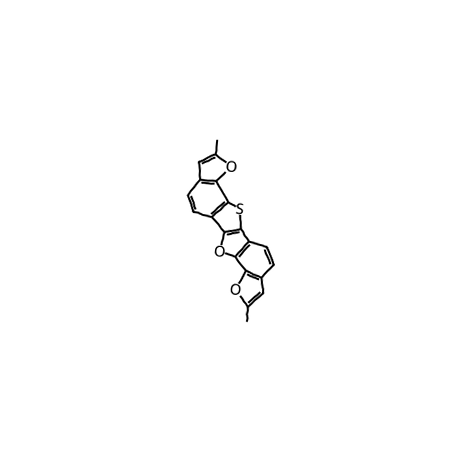 Cc1cc2ccc3c(oc4c5ccc6cc(C)oc6c5sc34)c2o1